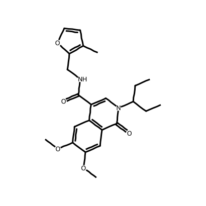 CCC(CC)n1cc(C(=O)NCc2occc2C)c2cc(OC)c(OC)cc2c1=O